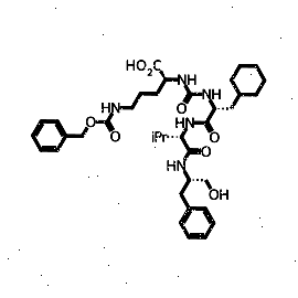 CC(C)[C@H](NC(=O)[C@@H](CC1CCCCC1)NC(=O)N[C@@H](CCCNC(=O)OCc1ccccc1)C(=O)O)C(=O)N[C@H](CO)Cc1ccccc1